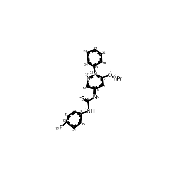 CCCOc1cc(=NC(=S)Nc2ccc(F)cc2)cnn1-c1ccccc1